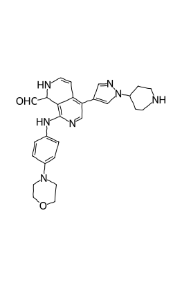 O=CC1NC=Cc2c(-c3cnn(C4CCNCC4)c3)cnc(Nc3ccc(N4CCOCC4)cc3)c21